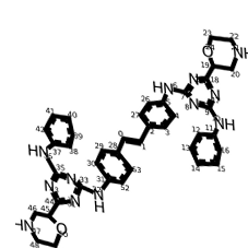 C(=Cc1ccc(Nc2nc(Nc3ccccc3)nc(C3CNCCO3)n2)cc1)c1ccc(Nc2nc(Nc3ccccc3)nc(C3CNCCO3)n2)cc1